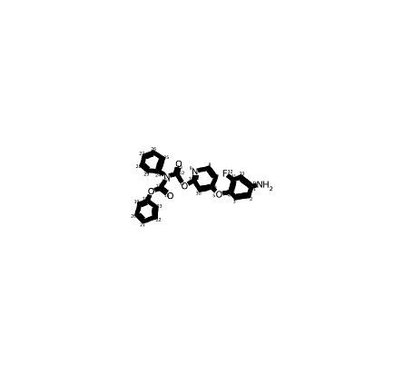 Nc1ccc(Oc2ccnc(OC(=O)N(C(=O)Oc3ccccc3)c3ccccc3)c2)c(F)c1